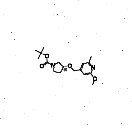 COc1cc(CO[C@@H]2CCN(C(=O)OC(C)(C)C)C2)cc(C)n1